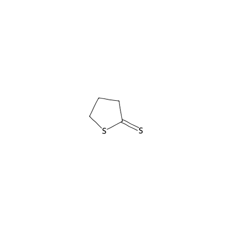 S=C1CCCS1